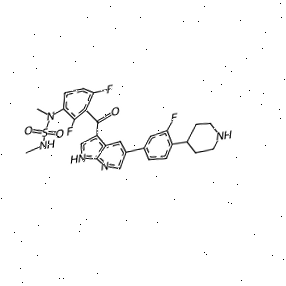 CNS(=O)(=O)N(C)c1ccc(F)c(C(=O)c2c[nH]c3ncc(-c4ccc(C5CCNCC5)c(F)c4)cc23)c1F